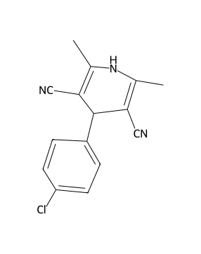 CC1=C(C#N)C(c2ccc(Cl)cc2)C(C#N)=C(C)N1